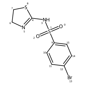 O=S(=O)(NC1=NCCS1)c1ccc(Br)cc1